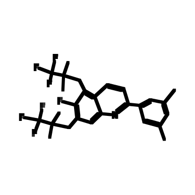 Cc1cc(C)cc(-c2ccc3c(CC(C)(C)C(F)(F)F)c(F)c(CC(C)(C)C(F)(F)F)cc3n2)c1